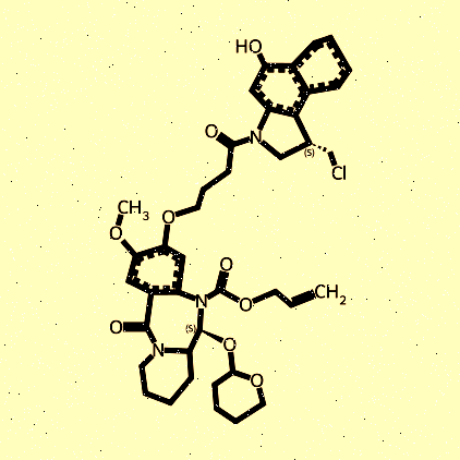 C=CCOC(=O)N1c2cc(OCCCC(=O)N3C[C@@H](CCl)c4c3cc(O)c3ccccc43)c(OC)cc2C(=O)N2CCCCC2[C@@H]1OC1CCCCO1